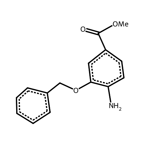 COC(=O)c1ccc(N)c(OCc2ccccc2)c1